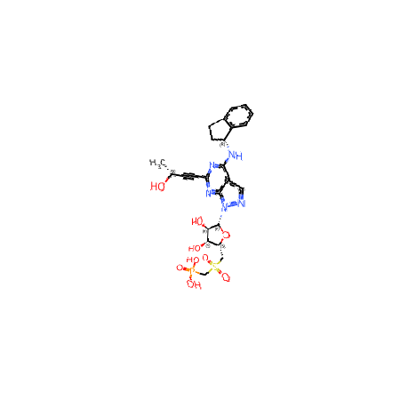 C[C@@H](O)C#Cc1nc(N[C@@H]2CCc3ccccc32)c2cnn([C@@H]3O[C@H](CS(=O)(=O)CP(=O)(O)O)[C@@H](O)[C@H]3O)c2n1